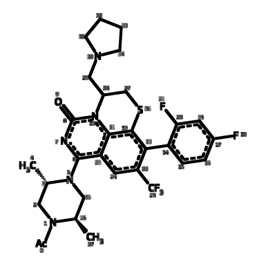 CC(=O)N1C[C@H](C)N(c2nc(=O)n3c4c(c(-c5ccc(F)cc5F)c(C(F)(F)F)cc24)SCC3CN2CCCC2)C[C@H]1C